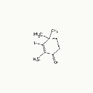 CC1=C(I)C(C)(C)CCC1=O